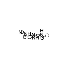 O=C(Nc1ccncc1)c1ccc2[nH]c(-c3ccc(NC(=O)C4CCCCC4)cc3)nc2c1